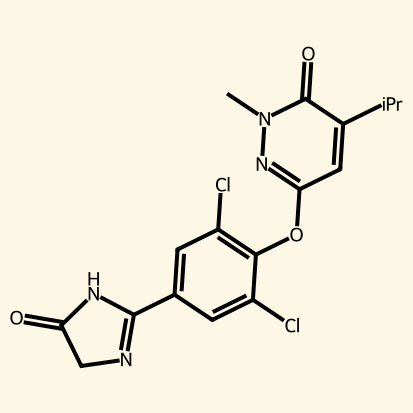 CC(C)c1cc(Oc2c(Cl)cc(C3=NCC(=O)N3)cc2Cl)nn(C)c1=O